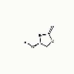 O=CO[C@@H]1COC(=O)N1